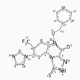 O=c1c2n[nH]c(=S)n2c2cc(-n3ccnc3)c(C(F)(F)F)cc2n1OCc1ccccc1